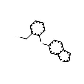 CNCc1ccccc1Sc1ccc2cc[nH]c2c1